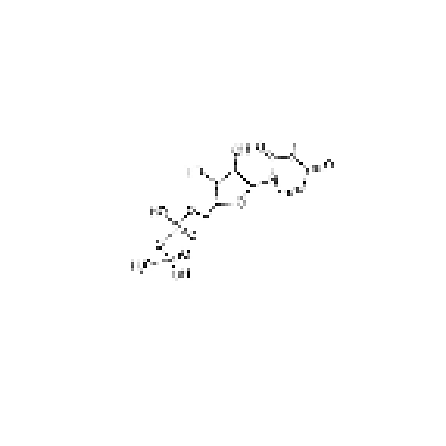 CP(=O)(O)OP(=O)(O)OCC1OC(n2ccc(=O)[nH]c2=O)C(O)C1O